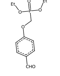 CCOP(=O)(COc1ccc(C=O)cc1)OCC